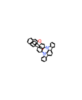 c1ccc(-c2ccc(-n3c4ccccc4c4ccc5c6ccccc6n(-c6ccc7c(c6)oc6cc8ccccc8cc67)c5c43)cc2)cc1